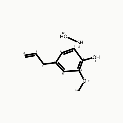 C=CCc1ccc(O)c(OC)c1.OS